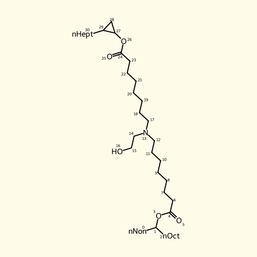 CCCCCCCCCC(CCCCCCCC)OC(=O)CCCCCCCN(CCO)CCCCCCCC(=O)OC1CC1CCCCCCC